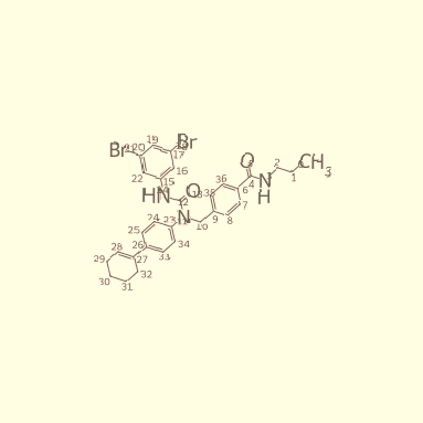 CCCNC(=O)c1ccc(CN(C(=O)Nc2cc(Br)cc(Br)c2)c2ccc(C3=CCCCC3)cc2)cc1